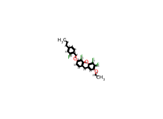 CCCc1ccc(COc2ccc3c(c2F)Oc2c(cc(OCC)c(F)c2F)C3)c(F)c1